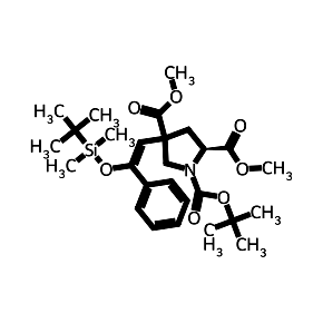 COC(=O)[C@@H]1CC(C=C(O[Si](C)(C)C(C)(C)C)c2ccccc2)(C(=O)OC)CN1C(=O)OC(C)(C)C